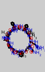 CCCC[C@H]1C(=O)N(C)CC(=O)N[C@@H](CCCCNC(=N)N)C(=O)N[C@H](C(=O)NCC(N)=O)CSCC(=O)N[C@@H](Cc2ccccc2)C(=O)N(C)[C@@H](C)C(=O)N[C@@H](CC(N)=O)C(=O)N2CCC[C@H]2C(=O)N[C@@H](Cc2cnc[nH]2)C(=O)N[C@@H](CC(C)C)C(=O)N(C)CC(=O)N[C@@H](Cc2c[nH]c3ccccc23)C(=O)N[C@@H](CO)C(=O)N[C@@H](Cc2c[nH]c3ccccc23)C(=O)N1C